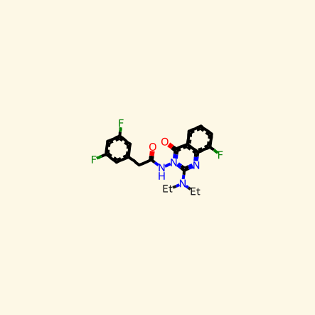 CCN(CC)c1nc2c(F)cccc2c(=O)n1NC(=O)Cc1cc(F)cc(F)c1